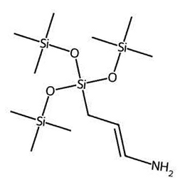 C[Si](C)(C)O[Si](CC=CN)(O[Si](C)(C)C)O[Si](C)(C)C